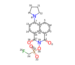 O=C1c2cccc3c(N4CCCC4)ccc(c23)C(=O)N1OS(=O)(=O)CF